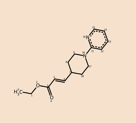 CCOC(=O)/C=C/C1CCN(c2ccccn2)CC1